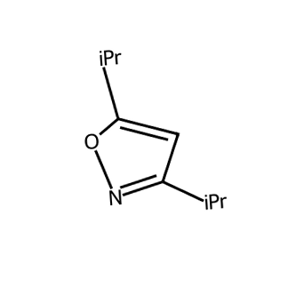 CC(C)c1cc(C(C)C)on1